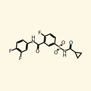 O=C(Nc1ccc(F)c(F)c1)c1cc(S(=O)(=O)NC(=O)C2CC2)ccc1F